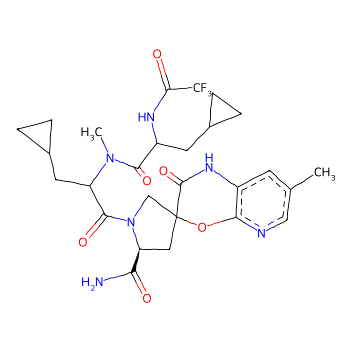 Cc1cnc2c(c1)NC(=O)C1(C[C@@H](C(N)=O)N(C(=O)C(CC3CC3)N(C)C(=O)C(CC3CC3)NC(=O)C(F)(F)F)C1)O2